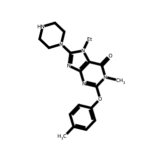 CCn1c(N2CCNCC2)nc2nc(Oc3ccc(C)cc3)n(C)c(=O)c21